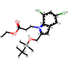 CCOC(=O)CCn1c(CO[Si](C)(C)C(C)(C)C)cc2cc(Cl)cc(F)c21